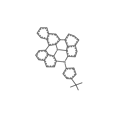 CC(C)(C)c1ccc(N2c3ccc4cccc5c4c3B3c4c-5cc5ccccc5c4-c4cccc5ccc2c3c45)cc1